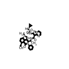 C#Cc1ccc2c3c(c([C@@H](C)NC(=O)c4c(NS(=O)(=O)NC5CC5)nn5cccnc45)n(-c4ccccc4)c(=O)c13)CN2C